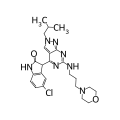 CC(C)Cn1cc2c(C3C(=O)Nc4ccc(Cl)cc43)nc(NCCCN3CCOCC3)nc2n1